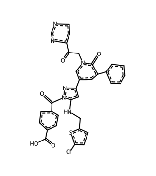 O=C(O)c1ccc(C(=O)n2nc(-c3cc(-c4ccccc4)c(=O)n(CC(=O)c4ccncn4)c3)cc2NCc2ccc(Cl)s2)cc1